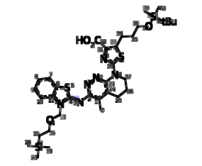 Cc1c(/N=c2\sc3ccccc3n2COCC[Si](C)(C)C)nnc2c1CCCN2c1nc(C(=O)O)c(CCCO[Si](C)(C)C(C)(C)C)s1